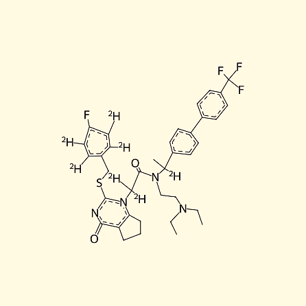 [2H]c1c([2H])c(CSc2nc(=O)c3c(n2C([2H])([2H])C(=O)N(CCN(CC)CC)C([2H])(C)c2ccc(-c4ccc(C(F)(F)F)cc4)cc2)CCC3)c([2H])c([2H])c1F